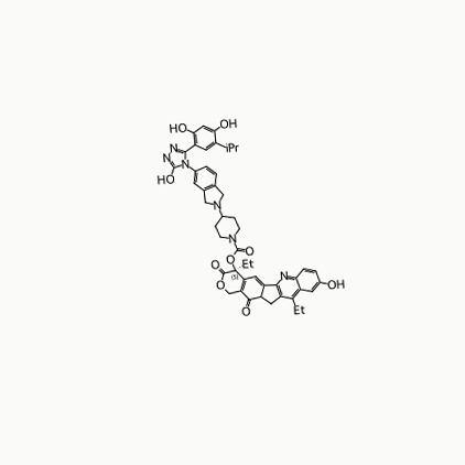 CCc1c2c(nc3ccc(O)cc13)C1=CC3=C(COC(=O)[C@@]3(CC)OC(=O)N3CCC(N4Cc5ccc(-n6c(O)nnc6-c6cc(C(C)C)c(O)cc6O)cc5C4)CC3)C(=O)C1C2